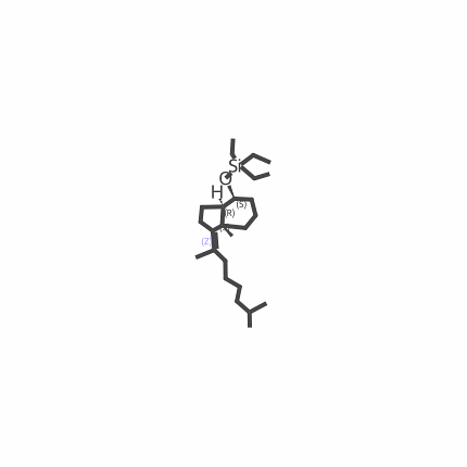 CC[Si](CC)(CC)O[C@H]1CCC[C@]2(C)/C(=C(/C)CCCCC(C)C)CC[C@@H]12